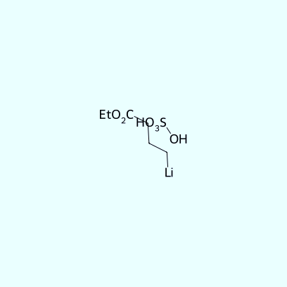 O=S(=O)(O)O.[Li][CH2]CCC(=O)OCC